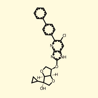 O[C@@]1(C2CC2)CO[C@@H]2[C@H](Oc3nc4nc(-c5ccc(-c6ccccc6)cc5)c(Cl)cc4[nH]3)CO[C@@H]21